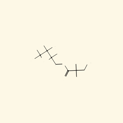 CCC(C)(C)C(=O)OCC(F)(F)C(C)(O)C(F)(F)F